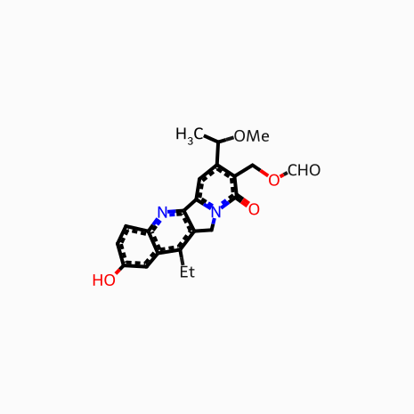 CCc1c2c(nc3ccc(O)cc13)-c1cc(C(C)OC)c(COC=O)c(=O)n1C2